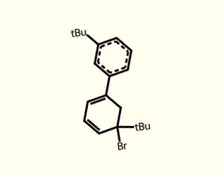 CC(C)(C)c1cccc(C2=CC=CC(Br)(C(C)(C)C)C2)c1